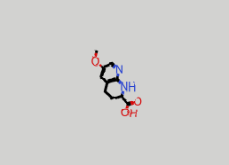 COc1cnc2c(c1)CCC(C(=O)O)N2